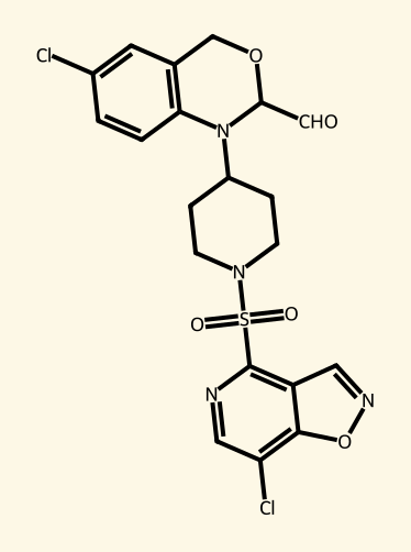 O=CC1OCc2cc(Cl)ccc2N1C1CCN(S(=O)(=O)c2ncc(Cl)c3oncc23)CC1